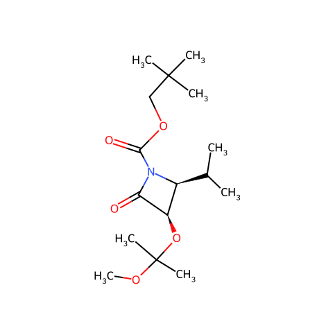 COC(C)(C)O[C@H]1C(=O)N(C(=O)OCC(C)(C)C)[C@H]1C(C)C